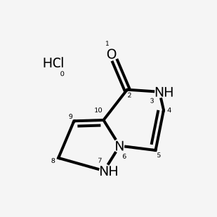 Cl.O=C1NC=CN2NCC=C12